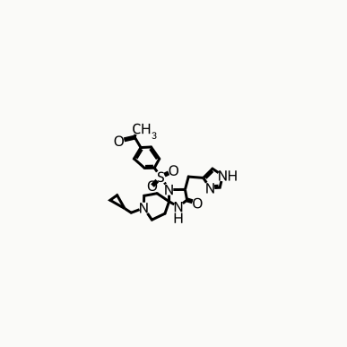 CC(=O)c1ccc(S(=O)(=O)N2C(Cc3c[nH]cn3)C(=O)NC23CCN(CC2CC2)CC3)cc1